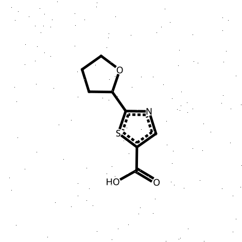 O=C(O)c1cnc(C2CCCO2)s1